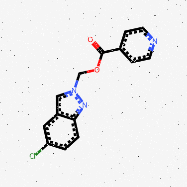 O=C(OCn1cc2cc(Cl)ccc2n1)c1ccncc1